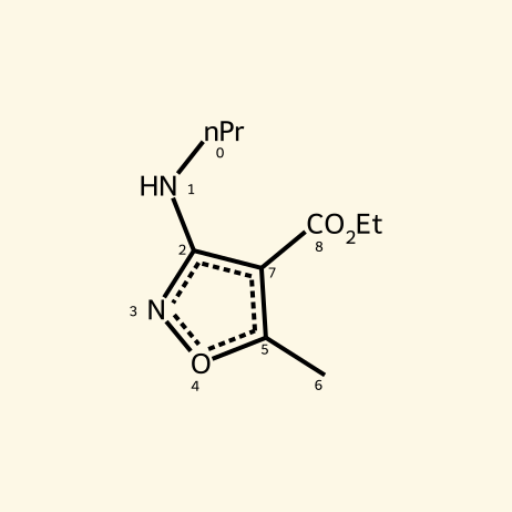 CCCNc1noc(C)c1C(=O)OCC